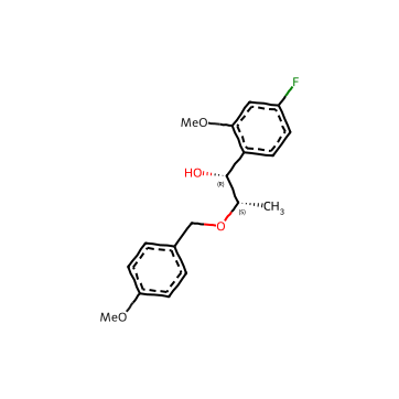 COc1ccc(CO[C@@H](C)[C@H](O)c2ccc(F)cc2OC)cc1